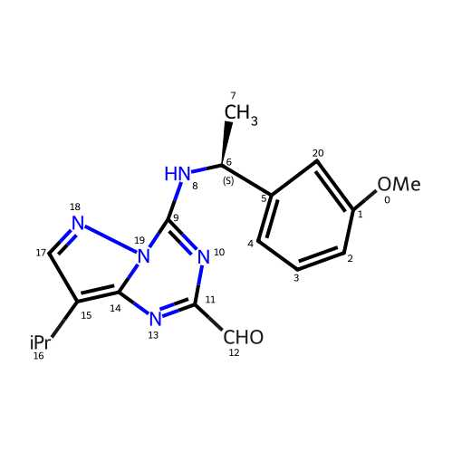 COc1cccc([C@H](C)Nc2nc(C=O)nc3c(C(C)C)cnn23)c1